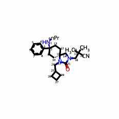 CCCN[C@]1(c2ccccc2)CC[C@]2(CC1)CN(CC(C)(C)C#N)C(=O)N2CC1CCC1